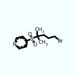 CC(C)(CCCBr)S(=O)(=O)c1ccncc1